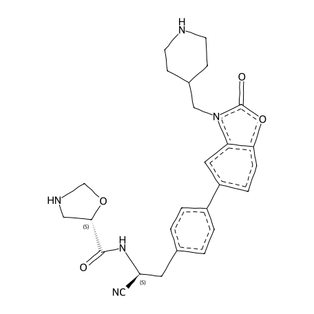 N#C[C@H](Cc1ccc(-c2ccc3oc(=O)n(CC4CCNCC4)c3c2)cc1)NC(=O)[C@@H]1CNCO1